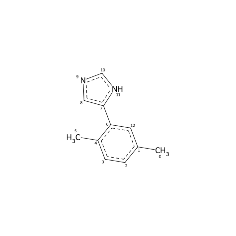 Cc1ccc(C)c(-c2cnc[nH]2)c1